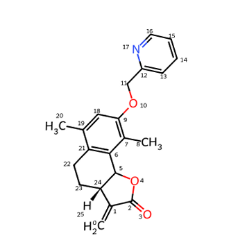 C=C1C(=O)OC2c3c(C)c(OCc4ccccn4)cc(C)c3CC[C@@H]12